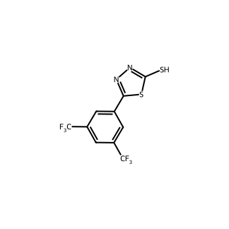 FC(F)(F)c1cc(-c2nnc(S)s2)cc(C(F)(F)F)c1